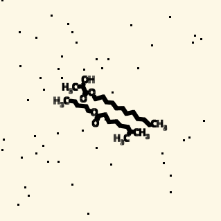 CCCCCCCCCCCCOC(=O)C(C)O.CCCCCOC(=O)CCCCCC(C)C